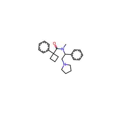 CN(C(=O)C1(c2ccccc2)CCC1)C(CN1CCCC1)c1ccccc1